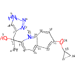 CC(C)C(O)(c1c[nH]nn1)c1ccc2cc(OC3CC3)ccc2n1